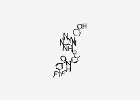 Cc1ccc(NC(=O)c2cccc(C(C)(F)F)c2)cc1C#Cc1nn([C@H]2CC[C@H](O)CC2)c2ncnc(N)c12